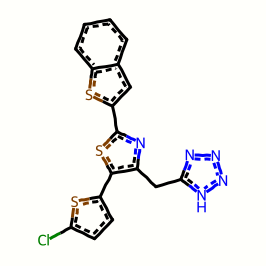 Clc1ccc(-c2sc(-c3cc4ccccc4s3)nc2Cc2nnn[nH]2)s1